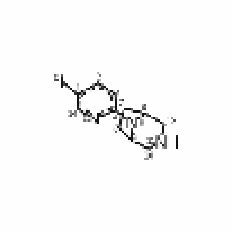 Ic1ccc(N2C3CCC2CNC3)nc1